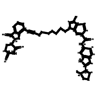 Cc1nn(CCCCCCCC#Cc2cccc3c2CN(C2CCC(=O)NC2=O)C3=O)c2cc(C(=O)Nc3cc4[nH]c([C@H]5CCCN5C)cc4cn3)ccc12